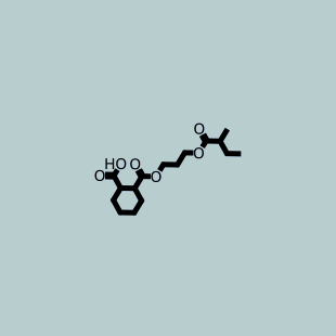 CCC(C)C(=O)OCCCOC(=O)C1CCCCC1C(=O)O